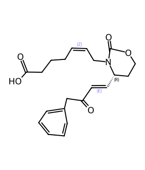 O=C(O)CCC/C=C\CN1C(=O)OCC[C@@H]1/C=C/C(=O)Cc1ccccc1